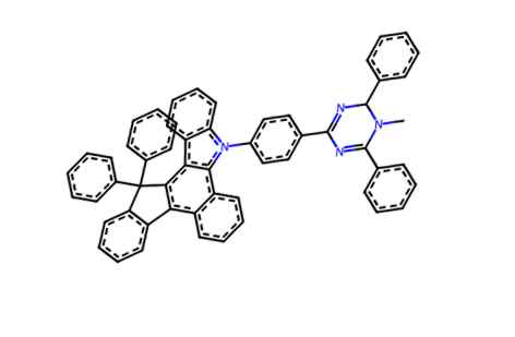 CN1C(c2ccccc2)=NC(c2ccc(-n3c4ccccc4c4c5c(c6ccccc6c43)-c3ccccc3C5(c3ccccc3)c3ccccc3)cc2)=NC1c1ccccc1